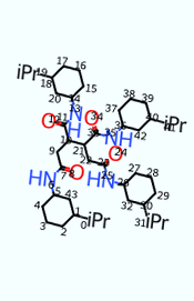 CC(C)C1CCCC(NC(=O)CC(C(=O)NC2CCCC(C(C)C)C2)C(CC(=O)NC2CCCC(C(C)C)C2)C(=O)NC2CCCC(C(C)C)C2)C1